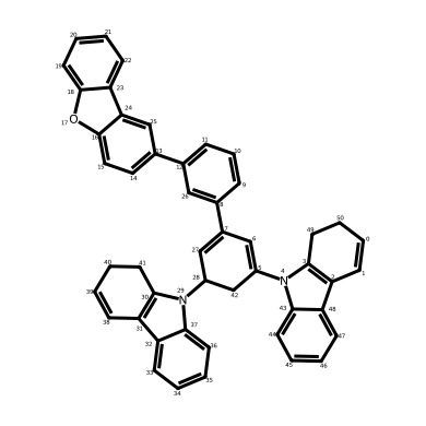 C1=Cc2c(n(C3=CC(c4cccc(-c5ccc6oc7ccccc7c6c5)c4)=CC(n4c5c(c6ccccc64)C=CCC5)C3)c3ccccc23)CC1